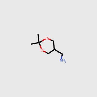 CC1(C)OCC(CN)CO1